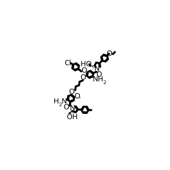 CCOc1ccc(C2=CN(C(=O)c3cc(OCc4ccc(Cl)cc4)c(OCCCCCOc4cc(N)c(C(=O)N5C=C(c6ccc(C)cc6)C[C@H]5CO)cc4OC)cc3N)[C@H](CO)C2)cc1